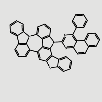 c1ccc(-c2nc(-n3c4cccc5c4c4c(cc6sc7ccccc7c6c43)c3cccc4c6ccccc6n5c34)nc3ccc4ccccc4c23)cc1